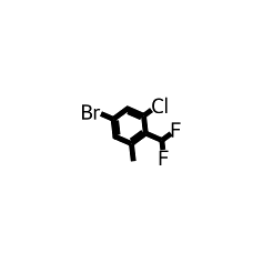 Cc1cc(Br)cc(Cl)c1C(F)F